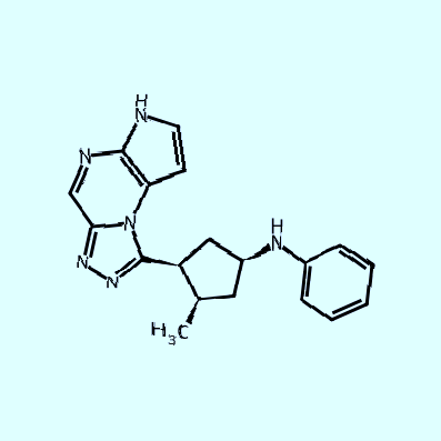 C[C@@H]1C[C@H](Nc2ccccc2)C[C@@H]1c1nnc2cnc3[nH]ccc3n12